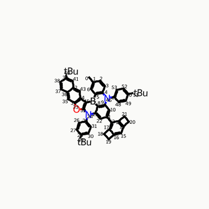 Cc1ccc2c(c1)B1c3c(cc(-c4c5c(cc6c4CC6)CC5)cc3N(c3ccc(C(C)(C)C)cc3)c3oc4cc5ccc(C(C)(C)C)cc5cc4c31)N2c1ccc(C(C)(C)C)cc1